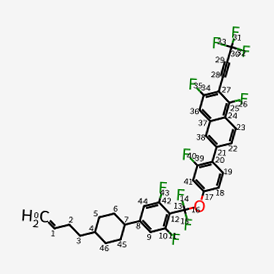 C=CCCC1CCC(c2cc(F)c(C(F)(F)Oc3ccc(-c4ccc5c(F)c(C#CC(F)(F)F)c(F)cc5c4)c(F)c3)c(F)c2)CC1